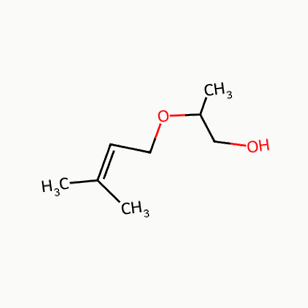 CC(C)=CCOC(C)CO